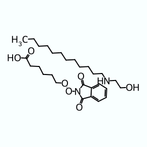 CCCCCCCCCCCCNCCO.O=C(O)CCCCCOON1C(=O)c2ccccc2C1=O